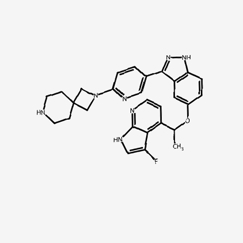 CC(Oc1ccc2[nH]nc(-c3ccc(N4CC5(CCNCC5)C4)nc3)c2c1)c1ccnc2[nH]cc(F)c12